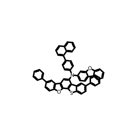 c1ccc(-c2ccc3oc4c(cc(N(c5ccc(-c6cccc7ccccc67)cc5)c5ccc6c(c5)oc5ccccc56)c5c6cc(-c7ccccc7)ccc6sc45)c3c2)cc1